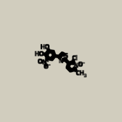 Cc1ccc(-c2nc(-c3cc(O)c(O)c([N+](=O)[O-])c3)cs2)c(Cl)[n+]1[O-]